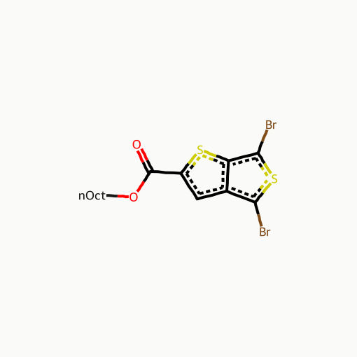 CCCCCCCCOC(=O)c1cc2c(Br)sc(Br)c2s1